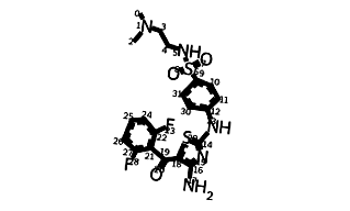 CN(C)CCNS(=O)(=O)c1ccc(Nc2nc(N)c(C(=O)c3c(F)cccc3F)s2)cc1